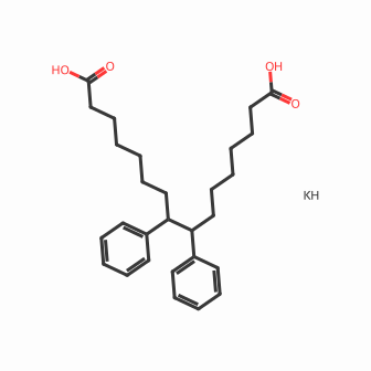 O=C(O)CCCCCCC(c1ccccc1)C(CCCCCCC(=O)O)c1ccccc1.[KH]